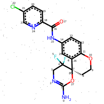 NC1=NCC(F)(F)[C@]2(CCOc3ccc(NC(=O)c4ccc(Cl)cn4)cc32)O1